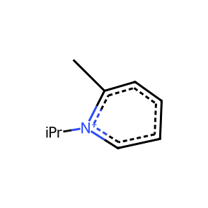 Cc1cccc[n+]1C(C)C